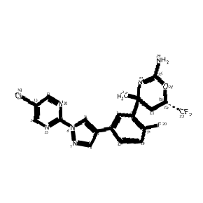 CC1(c2cc(-c3cnn(-c4ncc(Cl)cn4)c3)ccc2F)C[C@@H](C(F)(F)F)OC(N)=N1